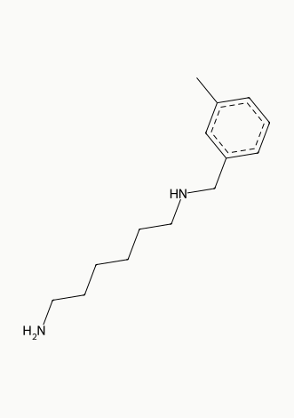 Cc1cccc(CNCCCCCCN)c1